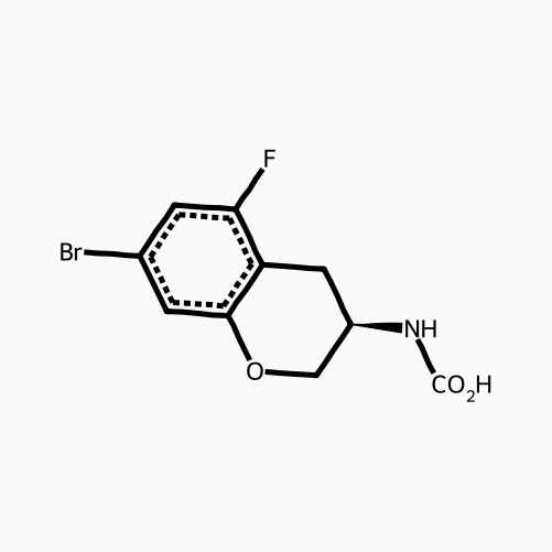 O=C(O)N[C@H]1COc2cc(Br)cc(F)c2C1